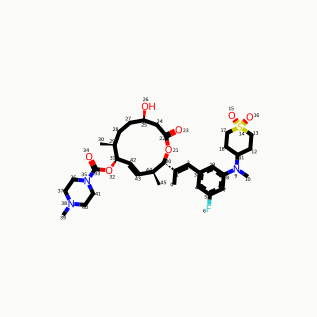 C/C(=C\c1cc(F)cc(N(C)C2CCS(=O)(=O)CC2)c1)[C@H]1OC(=O)C[C@H](O)CC[C@H](C)[C@H](OC(=O)N2CCN(C)CC2)/C=C/[C@@H]1C